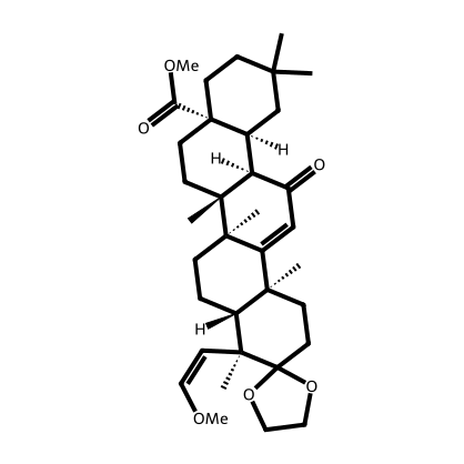 CO/C=C\[C@@]1(C)[C@@H]2CC[C@]3(C)C(=CC(=O)[C@@H]4[C@@H]5CC(C)(C)CC[C@]5(C(=O)OC)CC[C@]43C)[C@@]2(C)CCC12OCCO2